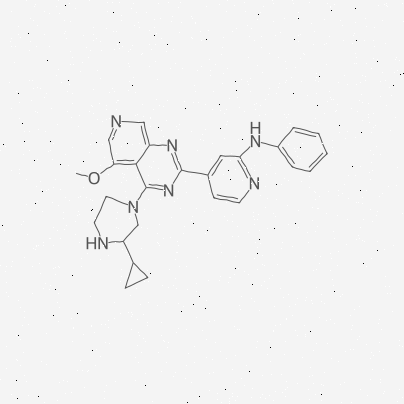 COc1cncc2nc(-c3ccnc(Nc4ccccc4)c3)nc(N3CCNC(C4CC4)C3)c12